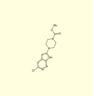 CC(C)(C)OC(=O)N1CCN(c2cc3cc(Cl)nnc3[nH]2)CC1